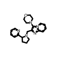 c1ccc(C2CCCN2Cc2nc3ccccn3c2N2CCOCC2)nc1